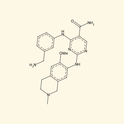 COc1cc2c(cc1Nc1ncc(C(N)=O)c(Nc3cccc(CN)c3)n1)CN(C)CC2